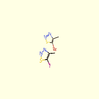 Cc1nnsc1Br.Cc1nnsc1I